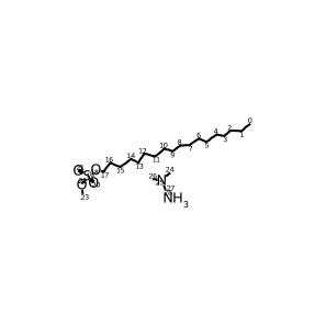 CCCCCCCCCCCCCCCCCCOS(=O)(=O)OC.CN(C)C.N